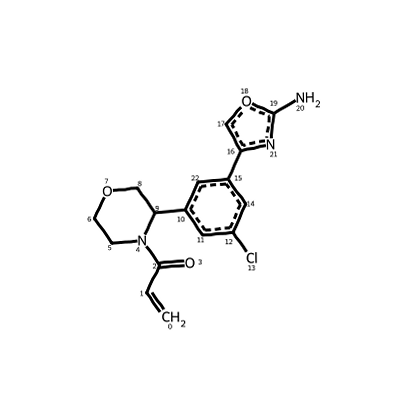 C=CC(=O)N1CCOCC1c1cc(Cl)cc(-c2coc(N)n2)c1